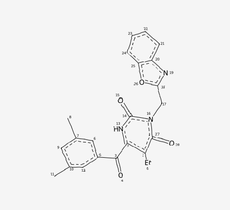 CCc1c(C(=O)c2cc(C)cc(C)c2)[nH]c(=O)n(Cc2nc3ccccc3o2)c1=O